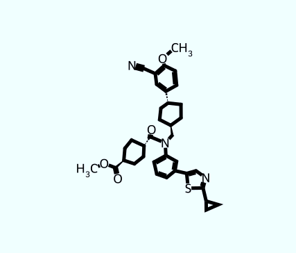 COc1ccc([C@H]2CC[C@H](CN(c3cccc(-c4cnc(C5CC5)s4)c3)C(=O)[C@H]3CC[C@H](C(=O)OC)CC3)CC2)cc1C#N